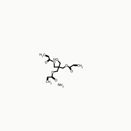 C=CC(=O)OCC(CO)(COC(=O)C=C)COC(=O)C=C.N